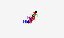 O=C(NS(=O)(=O)N1CC(O[C@@H]2CCNC2)C1)c1cc(Cl)c(OCC2CCCC2)cc1F